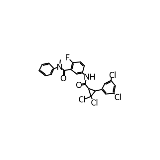 CN(C(=O)c1cc(NC(=O)C2C(c3cc(Cl)cc(Cl)c3)C2(Cl)Cl)ccc1F)c1ccccc1